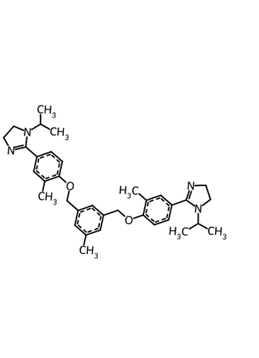 Cc1cc(COc2ccc(C3=NCCN3C(C)C)cc2C)cc(COc2ccc(C3=NCCN3C(C)C)cc2C)c1